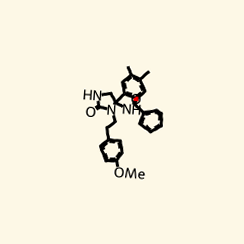 COc1ccc(CCN2C(=O)NCC2(NC(=O)c2ccccc2)c2ccc(C)c(C)c2)cc1